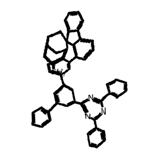 CC1C=C2CC(CCC23c2ccccc2-c2cccc(-c4cccc(C5C=C(c6ccccc6)C=C(c6nc(-c7ccccc7)nc(-c7ccccc7)n6)C5)c4)c23)C1